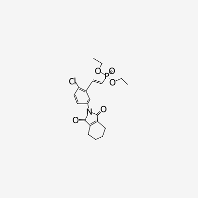 CCOP(=O)(C=Cc1cc(N2C(=O)C3=C(CCCC3)C2=O)ccc1Cl)OCC